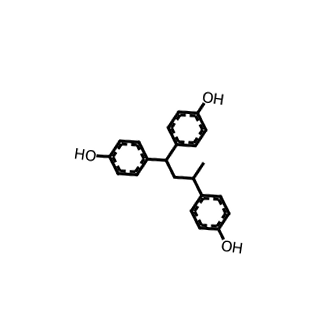 CC(CC(c1ccc(O)cc1)c1ccc(O)cc1)c1ccc(O)cc1